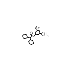 CC(=O)C1CC(C)CC(CC(=O)C(C2CCCCC2)C2CCCCC2)C1